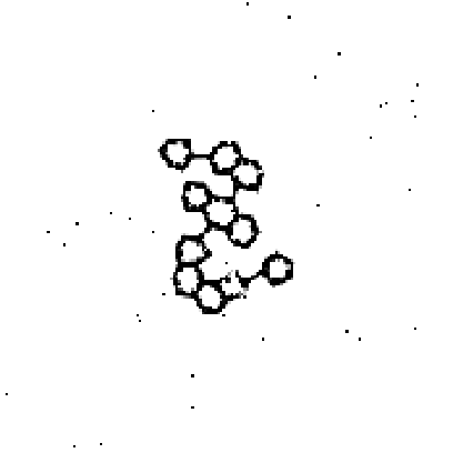 c1ccc(-c2ccc3cccc(-c4c5ccccc5c(-c5ccc6ccc7ccc8nc(-c9ccccc9)oc8c7c6c5)c5ccccc45)c3c2)cc1